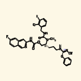 CN(C(=O)NCc1cccc(F)c1Cl)[C@H](CCCN/C(=N/C#N)Oc1ccccc1)COC(=O)Nc1cc2cc(F)ccc2cn1